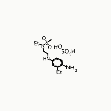 CCc1cc(NCCN(CC)S(C)(=O)=O)ccc1N.O=S(=O)(O)O